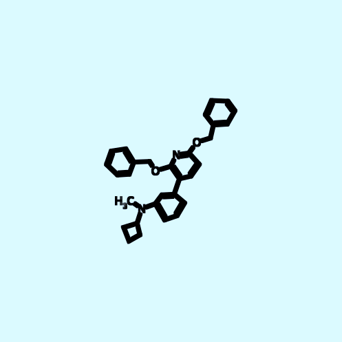 CN(c1cccc(-c2ccc(OCc3ccccc3)nc2OCc2ccccc2)c1)C1CCC1